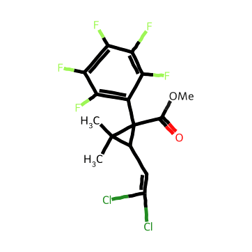 COC(=O)C1(c2c(F)c(F)c(F)c(F)c2F)C(C=C(Cl)Cl)C1(C)C